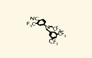 N#Cc1ccc(N(Cc2cc(C(F)(F)F)cc(C(F)(F)F)c2)CC(F)(F)F)cc1C(F)(F)F